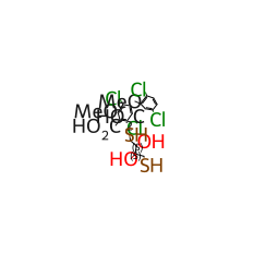 COc1c(Cl)ccc(Cl)c1C(=O)O.COc1c(Cl)ccc(Cl)c1C(=O)O.O[C@H](CS)[C@H](O)CS